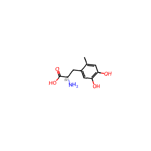 Cc1cc(O)c(O)cc1C[C@H](N)C(=O)O